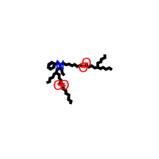 CCCCCCCOC(=O)CCCC(CCCCC)CC(CCC)N(CCCCCCCOC(=O)CCCC(CCCCC)CCCCC)Cc1ccccc1